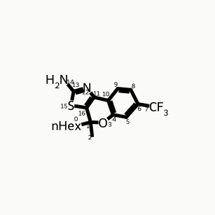 CCCCCCC1(C)Oc2cc(C(F)(F)F)ccc2-c2nc(N)sc21